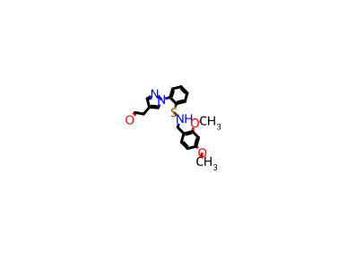 COc1ccc(CNSc2ccccc2-n2cc(CC=O)cn2)c(OC)c1